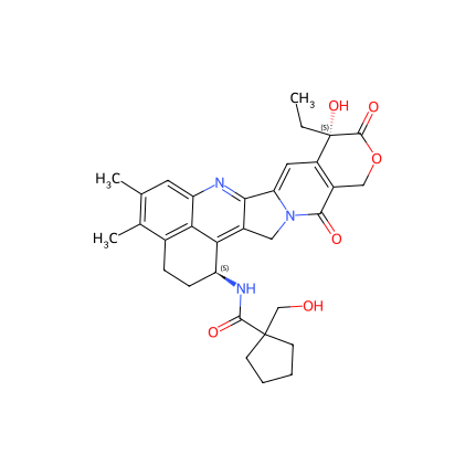 CC[C@@]1(O)C(=O)OCc2c1cc1n(c2=O)Cc2c-1nc1cc(C)c(C)c3c1c2[C@@H](NC(=O)C1(CO)CCCC1)CC3